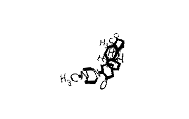 CN1CCN(C2C[C@@]34C[C@@]3(CC[C@@H]3[C@@H]4CC[C@]4(C)C(=O)CC[C@@H]34)CC2=O)CC1